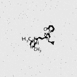 Cc1ncc(C)n2nc(C=Cc3nc(-n4ccccc4=O)cn3CC3CC3)nc12